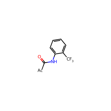 CC(=O)C(=O)Nc1ccccc1C(F)(F)F